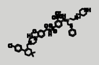 CC1(C)CCC(c2ccc(Cl)cc2)=C(CN2CCN3c4ccc(C(=O)NS(=O)(=O)c5ccc(N[C@H](CCN6CC7(CCNCC7)C6)CSc6ccccc6)c(S(=O)(=O)C(F)(F)F)c5)cc4OC[C@@H]3C2)C1